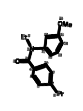 CCN(C(=O)c1ccc(C(C)C)cc1)c1cccc(OC)c1